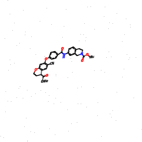 COC(=O)C1CCOc2cc(Oc3ccc(C(=O)Nc4ccc5c(c4)CN(C(=O)OC(C)(C)C)CC5)cc3)c(C#N)cc21